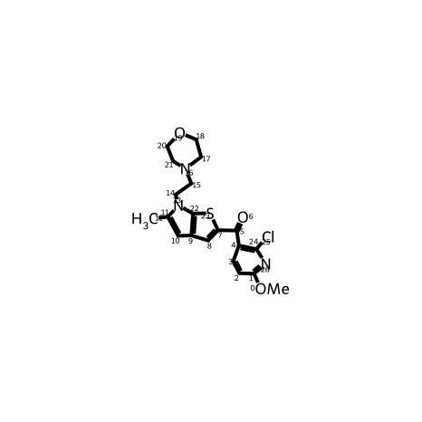 COc1c[c]c(C(=O)c2cc3cc(C)n(CCN4CCOCC4)c3s2)c(Cl)n1